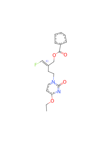 CCOc1ccn(CC/C(=C\F)COC(=O)c2ccccc2)c(=O)n1